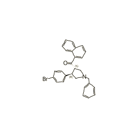 O=C(c1cccc2ccccc12)[C@@H]1CN(Cc2ccccc2)C[C@H]1c1ccc(Br)cc1